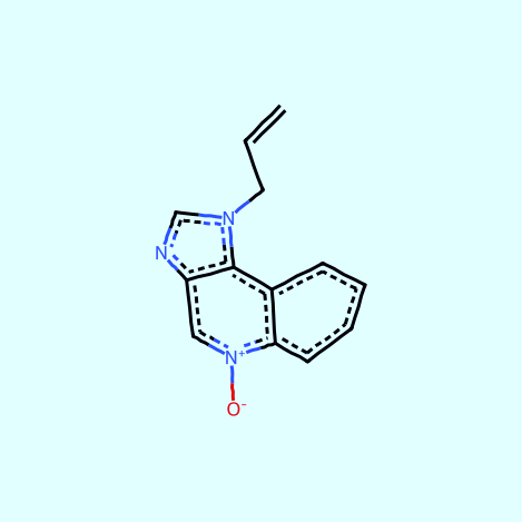 C=CCn1cnc2c[n+]([O-])c3ccccc3c21